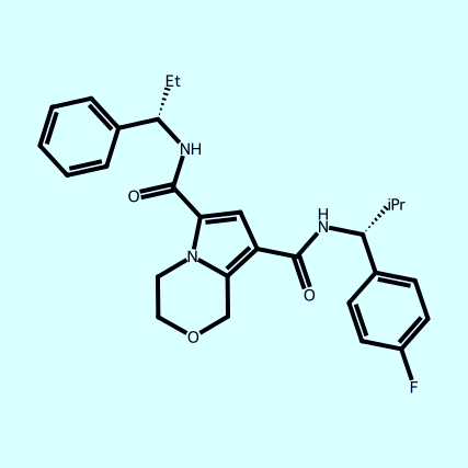 CC[C@H](NC(=O)c1cc(C(=O)N[C@@H](c2ccc(F)cc2)C(C)C)c2n1CCOC2)c1ccccc1